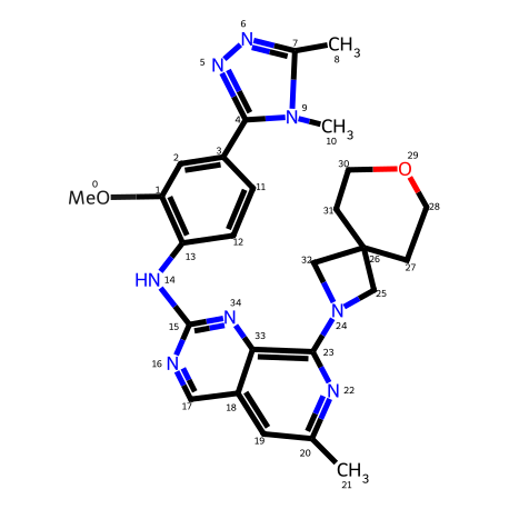 COc1cc(-c2nnc(C)n2C)ccc1Nc1ncc2cc(C)nc(N3CC4(CCOCC4)C3)c2n1